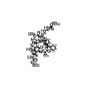 CC(c1cnn(C[C@H]2NC(=O)[C@H]2NC(=O)C(=NOC2(C(=O)OC(c3ccccc3)c3ccccc3)CC2)c2csc(NC(=O)OC(C)(C)C)n2)n1)N(C(=O)OC(C)(C)C)C(=NC(=O)OC(C)(C)C)NCCCNC(=O)OC(C)(C)C